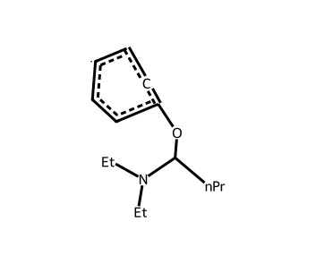 CCCC(Oc1cc[c]cc1)N(CC)CC